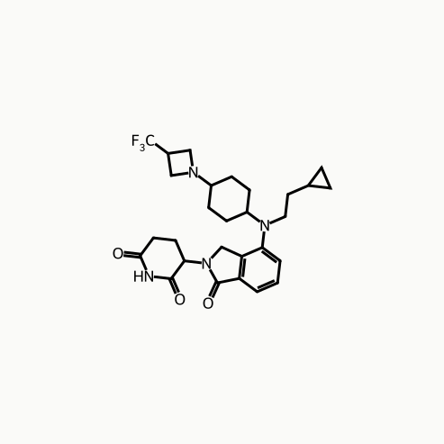 O=C1CCC(N2Cc3c(cccc3N(CCC3CC3)C3CCC(N4CC(C(F)(F)F)C4)CC3)C2=O)C(=O)N1